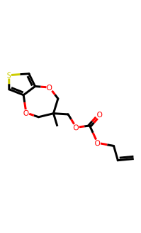 C=CCOC(=O)OCC1(C)COc2cscc2OC1